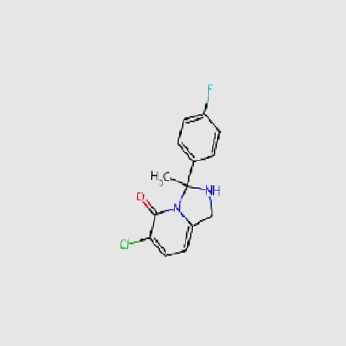 CC1(c2ccc(F)cc2)NCc2ccc(Cl)c(=O)n21